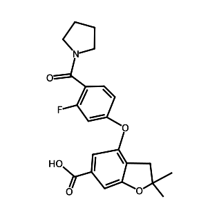 CC1(C)Cc2c(Oc3ccc(C(=O)N4CCCC4)c(F)c3)cc(C(=O)O)cc2O1